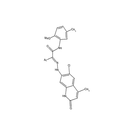 COc1ccc(C)cc1NC(=O)/C(=N/Nc1cc2[nH]c(=O)cc(C)c2cc1Cl)C(C)=O